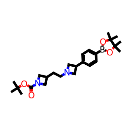 CC(C)(C)OC(=O)N1CC(CCN2CC(c3ccc(B4OC(C)(C)C(C)(C)O4)cc3)C2)C1